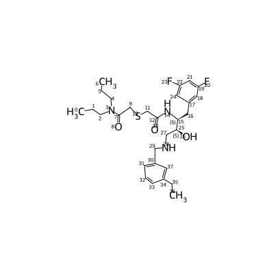 CCCN(CCC)C(=O)CSCC(=O)N[C@@H](Cc1cc(F)cc(F)c1)[C@@H](O)CNCc1cccc(CC)c1